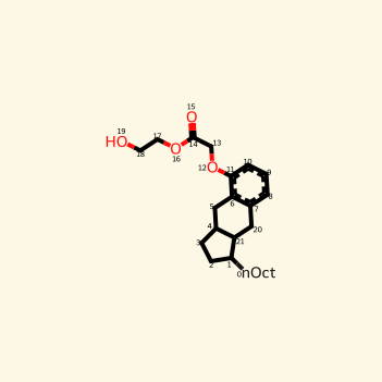 CCCCCCCCC1CCC2Cc3c(cccc3OCC(=O)OCCO)CC12